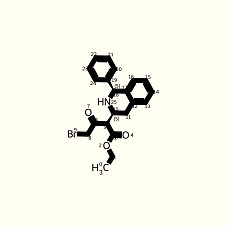 CCOC(=O)C(C(=O)CBr)[C@@H]1Cc2ccccc2[C@H](c2ccccc2)N1